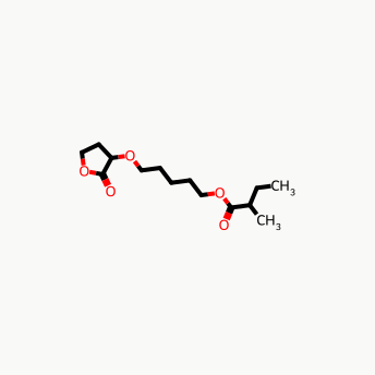 CCC(C)C(=O)OCCCCCOC1CCOC1=O